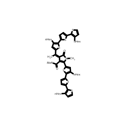 CCCCCCc1ccsc1-c1ccc(-c2sc(C3=C(C(=O)NC)/C(=C(\C)c4cc(CCCCCC)c(-c5ccc(-c6sccc6CCCCCC)s5)s4)C(=O)N3C)cc2CCCCCC)s1